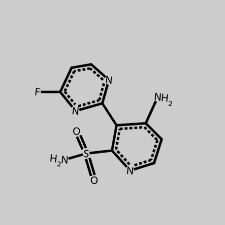 Nc1ccnc(S(N)(=O)=O)c1-c1nccc(F)n1